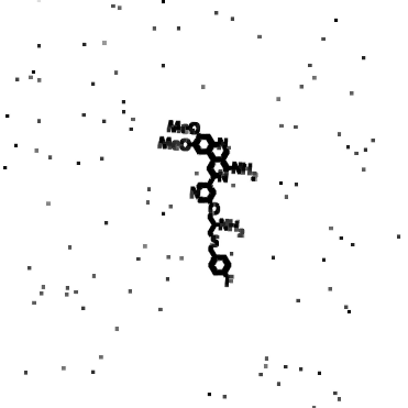 COc1cc2ncc3c(N)nc(-c4cncc(OC[C@@H](N)CSCc5ccc(F)cc5)c4)cc3c2cc1OC